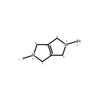 CC(C)N1CC2=C(CN(I)C2)C1